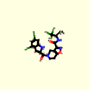 C[C@@H](NC(=O)c1noc2c1CN(C(=O)c1cc3c(F)cc(F)cc3[nH]1)CC2)C(F)(F)F